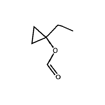 CCC1(OC=O)CC1